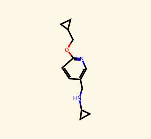 c1cc(OCC2CC2)ncc1CNC1CC1